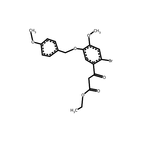 CCOC(=O)CC(=O)c1cc(OCc2ccc(OC)cc2)c(OC)cc1Br